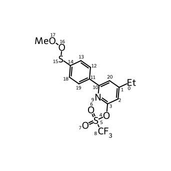 CCc1cc(OS(=O)(=O)C(F)(F)F)nc(-c2ccc(SOOC)cc2)c1